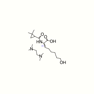 CC1(C)CC1C(=O)N/C(=C/CCCCCO)C(=O)O.CN(C)CCN(C)C